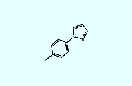 Clc1ccc(-n2ccnn2)cc1